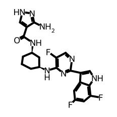 Nc1n[nH]cc1C(=O)N[C@@H]1CCC[C@H](Nc2nc(-c3c[nH]c4c(F)cc(F)cc34)ncc2F)C1